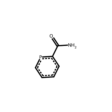 NC(=O)c1ccccp1